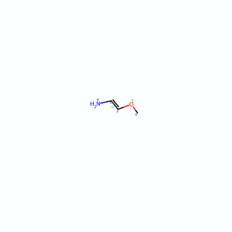 CO/C=C/N